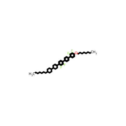 CCCCCCCCOc1ccc(-c2ccc(-c3ccc(C4=CCC(C5CCC(CCCCCCC)CC5)CC4)c(F)c3F)cc2)c(F)c1F